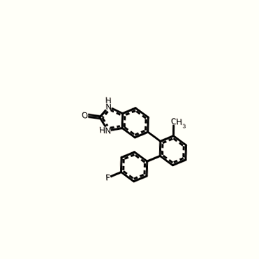 Cc1cccc(-c2ccc(F)cc2)c1-c1ccc2[nH]c(=O)[nH]c2c1